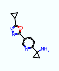 NC1(c2ccc(-c3nnc(C4CC4)o3)cn2)CC1